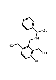 CC(C)(C)C(NCc1c(CO)ccc(O)c1CO)c1ccccc1